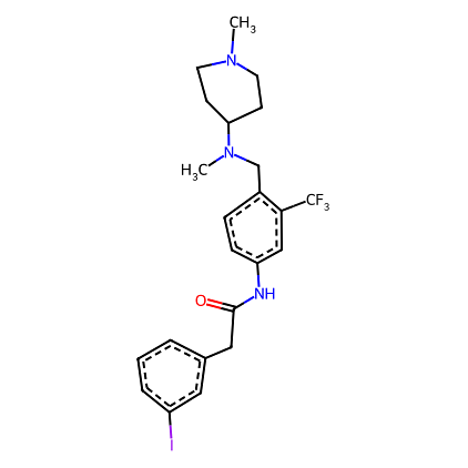 CN1CCC(N(C)Cc2ccc(NC(=O)Cc3cccc(I)c3)cc2C(F)(F)F)CC1